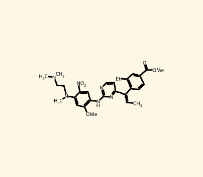 C/C=C(/c1ccnc(Nc2cc([N+](=O)[O-])c(N(C)CCN(C)C)cc2OC)n1)c1ccc(C(=O)OC)cc1CC